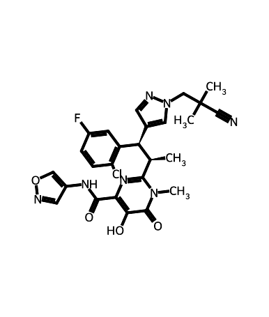 C[C@@H](c1nc(C(=O)Nc2cnoc2)c(O)c(=O)n1C)[C@H](c1cnn(CC(C)(C)C#N)c1)c1cc(F)ccc1Cl